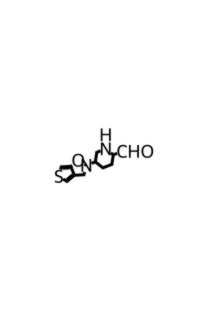 O=CC1CCC(N2Cc3cscc3O2)CN1